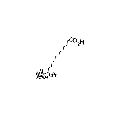 CCCC(CCCCCCCCCCCC(=O)O)c1nnn[nH]1